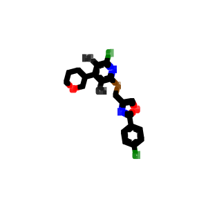 N#Cc1c(Cl)nc(SCc2coc(-c3ccc(Cl)cc3)n2)c(C#N)c1C1CCCOC1